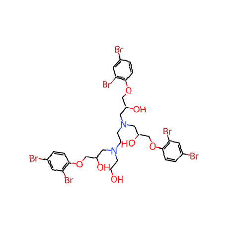 OCCN(CCN(CC(O)COc1ccc(Br)cc1Br)CC(O)COc1ccc(Br)cc1Br)CC(O)COc1ccc(Br)cc1Br